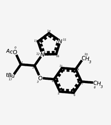 CC(=O)OC(C(Oc1ccc(C)c(C)c1)n1ccnc1)C(C)(C)C